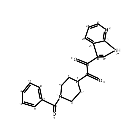 O=C(C(=O)N1CCN(C(=O)c2ccccc2)CC1)c1c[nH]c2ncccc12